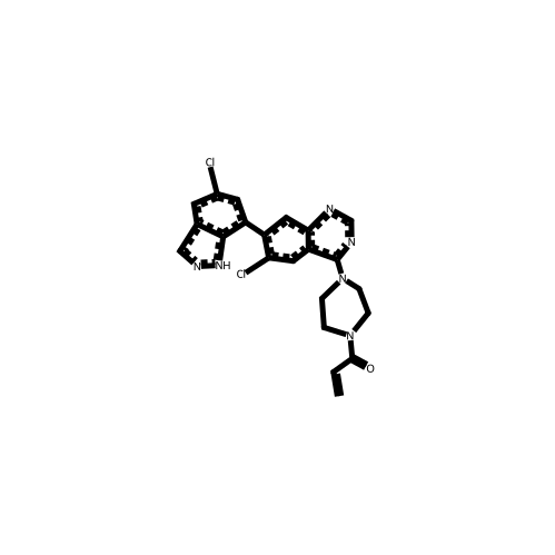 C=CC(=O)N1CCN(c2ncnc3cc(-c4cc(Cl)cc5cn[nH]c45)c(Cl)cc23)CC1